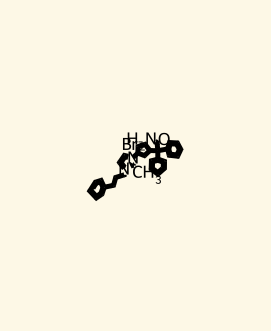 Cc1n(C2CCC(C(C(N)=O)(c3ccccc3)c3ccccc3)C2)cc[n+]1CCCc1ccccc1.[Br-]